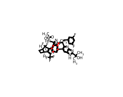 Cn1nc(NS(C)(=O)=O)c2c(Cl)ccc(-c3cc4[nH]c(C(C)(C)O)nc4nc3[C@H](Cc3cc(F)cc(F)c3)NC(=O)Cn3nc(C(F)(F)F)c4c3C(F)(F)[C@@H]3CC[C@H]43)c21